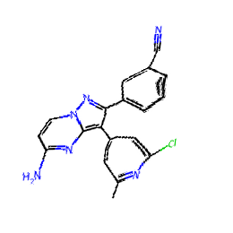 Cc1cc(-c2c(-c3cccc(C#N)c3)nn3ccc(N)nc23)cc(Cl)n1